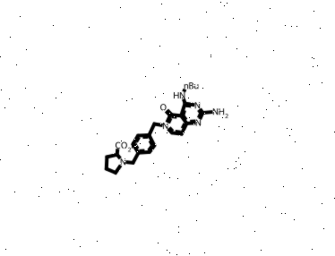 CCCCNc1nc(N)nc2ccn(Cc3ccc(CN4CCCC4C(=O)O)cc3)c(=O)c12